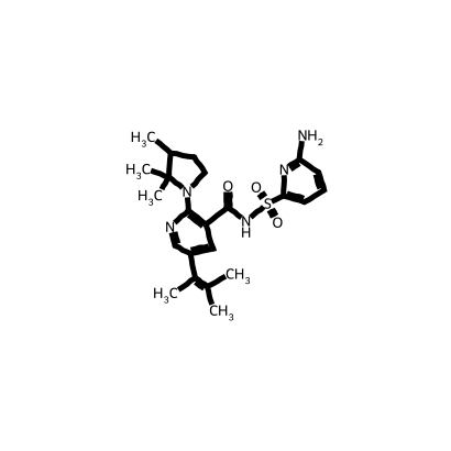 CC(C)=C(C)c1cnc(N2CCC(C)C2(C)C)c(C(=O)NS(=O)(=O)c2cccc(N)n2)c1